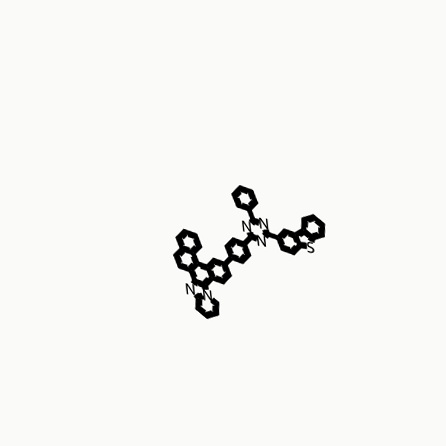 c1ccc(-c2nc(-c3ccc(-c4ccc5c(c4)c4c6ccccc6ccc4c4nc6ccccn6c54)cc3)nc(-c3ccc4sc5ccccc5c4c3)n2)cc1